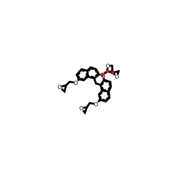 c1cc2ccc(OCC3CO3)c(Cc3c(OC4CCO4)ccc4ccc(OCC5CO5)cc34)c2cc1OCC1CO1